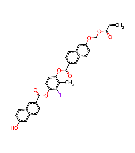 C=CC(=O)OCOc1ccc2cc(C(=O)Oc3ccc(OC(=O)c4ccc5cc(O)ccc5c4)c(I)c3C)ccc2c1